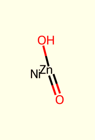 [Ni].[O]=[Zn][OH]